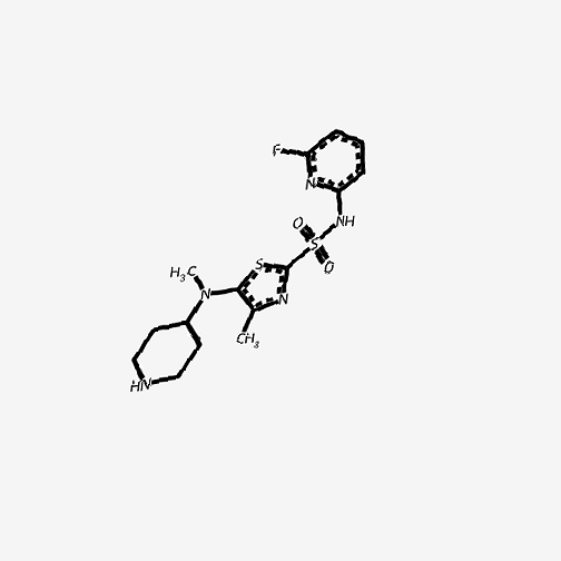 Cc1nc(S(=O)(=O)Nc2cccc(F)n2)sc1N(C)C1CCNCC1